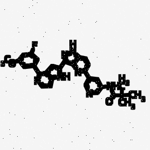 COc1cc(F)cc(-c2nccc3[nH]c(-c4n[nH]c5ccc(-c6cncc(NC(=O)C(C)(C)C)c6)nc45)cc23)c1